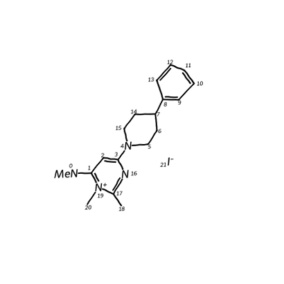 CNc1cc(N2CCC(c3ccccc3)CC2)nc(C)[n+]1C.[I-]